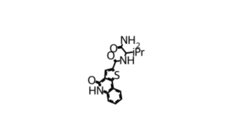 CC(C)C(NC(=O)c1cc2c(=O)[nH]c3ccccc3c2s1)C(N)=O